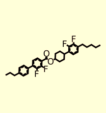 CCCCCc1ccc(C2CCC(OC(=O)c3ccc(-c4ccc(CCC)cc4)c(F)c3F)CC2)c(F)c1F